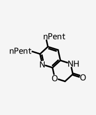 CCCCCc1cc2c(nc1CCCCC)OCC(=O)N2